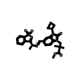 COC(=O)C(C)(C)Cn1c(=O)n(C2CCC2)c2cc(/C=N/N(C)C3=NS(=O)(=O)c4ccccc43)ccc21